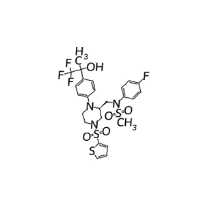 CC(O)(c1ccc(N2CCN(S(=O)(=O)c3cccs3)C[C@@H]2CN(c2ccc(F)cc2)S(C)(=O)=O)cc1)C(F)(F)F